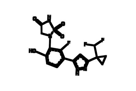 O=C1CN(c2c(O)ccc(-c3cc(C4(C(F)F)CC4)n[nH]3)c2F)S(=O)(=O)N1